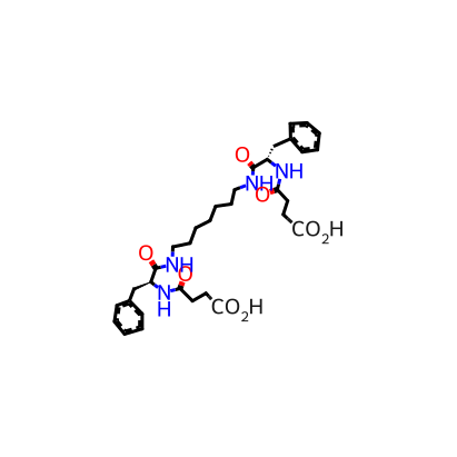 O=C(O)CCC(=O)N[C@@H](Cc1ccccc1)C(=O)NCCCCCCCNC(=O)[C@H](Cc1ccccc1)NC(=O)CCC(=O)O